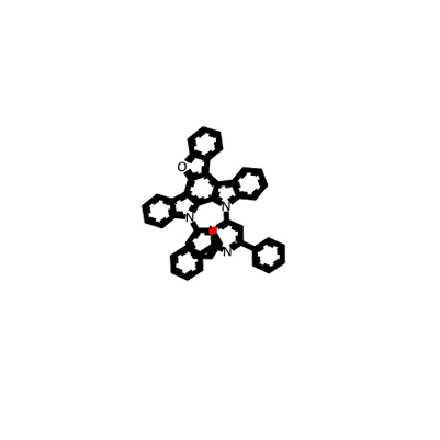 c1ccc(-c2cc(-n3c4ccccc4c4c5c6ccccc6oc5c5c6ccccc6n(-c6ccccc6)c5c43)nc(-c3ccccc3)n2)cc1